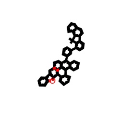 CC1(C)c2c(-c3cccc(-c4c5ccccc5c(-c5ccccc5-c5cccc6c5oc5ccccc56)c5ccccc45)c3)cccc2-c2ccc3ccccc3c21